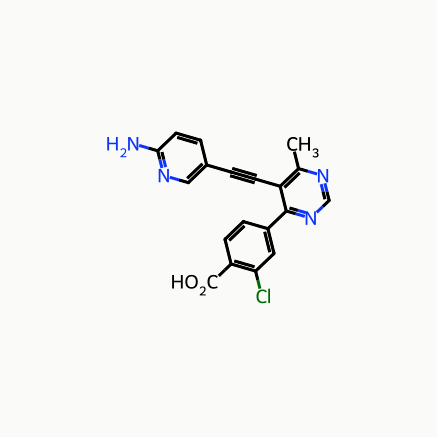 Cc1ncnc(-c2ccc(C(=O)O)c(Cl)c2)c1C#Cc1ccc(N)nc1